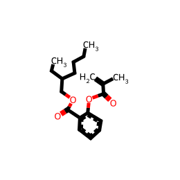 C=C(C)C(=O)Oc1ccccc1C(=O)OCC(CC)CCCC